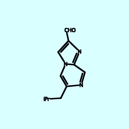 CC(C)Cc1cn2cc(C=O)nc2cn1